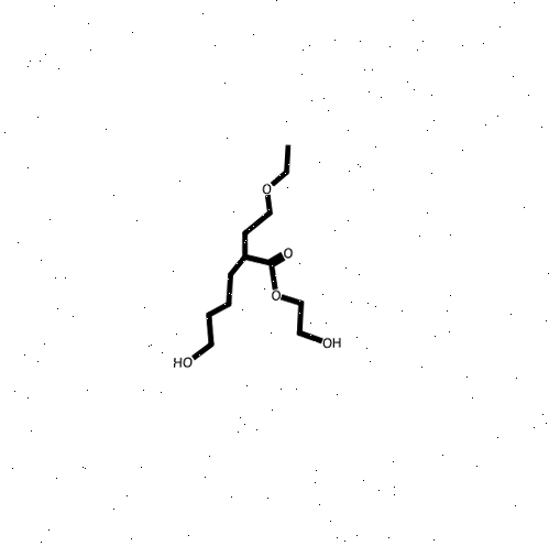 CCOCCC(CCCCO)C(=O)OCCO